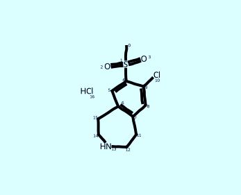 CS(=O)(=O)c1cc2c(cc1Cl)CCNCC2.Cl